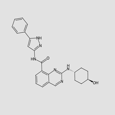 O=C(Nc1cc(-c2ccccc2)[nH]n1)c1cccc2cnc(N[C@H]3CC[C@H](O)CC3)nc12